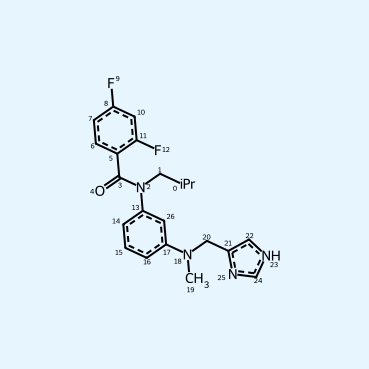 CC(C)CN(C(=O)c1ccc(F)cc1F)c1cccc(N(C)Cc2c[nH]cn2)c1